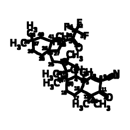 CC(=O)CC1[C@@]2(C)C=C(C#N)C(=O)C(C)(C)C2CC[C@@]1(C)C(C)(C)CC[C@@]1(CNC(=O)C(F)(F)F)CCC(C)(C)CC1C